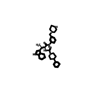 C[C@@H](c1c[nH]c2ccccc12)[C@@H](NC(=O)N1CCC(c2ccccc2)CC1)C(=O)Nc1cccc(CN2CCNCC2)c1